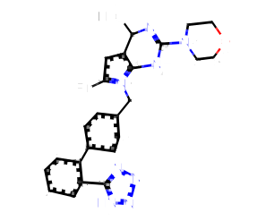 CCc1cc2c(n1Cc1ccc(-c3ccccc3-c3nnn[nH]3)cc1)NC(N1CCOCC1)=NC2C